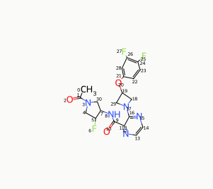 CC(=O)N1CC(F)C(NC(=O)c2nccnc2N2CC(Oc3ccc(F)c(F)c3)C2)C1